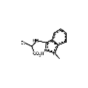 CCC(Nc1nn(C)c2ccccc12)C(=O)O